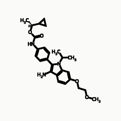 COCCOc1ccc2c(N)c(-c3ccc(NC(=O)O[C@H](C)C4CC4)cc3)n(C(C)C)c2c1